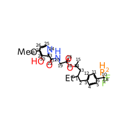 CCC(Cc1ccc(C(F)(F)P)cc1)CC(C)OC(=O)CNC(=O)c1nccc(OC)c1O